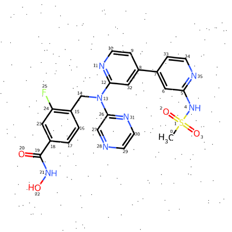 CS(=O)(=O)Nc1cc(-c2ccnc(N(Cc3ccc(C(=O)NO)cc3F)c3cnccn3)c2)ccn1